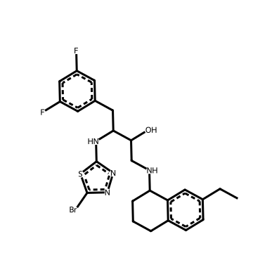 CCc1ccc2c(c1)C(NCC(O)C(Cc1cc(F)cc(F)c1)Nc1nnc(Br)s1)CCC2